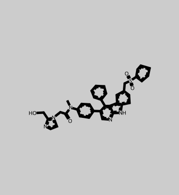 CN(C(=O)Cn1ccnc1CO)c1ccc(-c2cnc3[nH]c4ccc(CS(=O)(=O)c5ccccc5)cc4c3c2-c2ccccc2)cc1